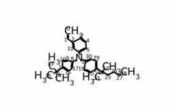 C=Cc1cccc(N(c2ccc(C(C)(C)C)cc2)c2ccc(C(C)(C)CCCC)cc2)c1